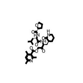 Cc1cc(C)c(C(=O)OCC(=O)[C@H](C[C@@H]2CCCNC2=O)NC(=O)[C@H](CC(C)C)NC(=O)[C@H]2CCCO2)c(C)n1